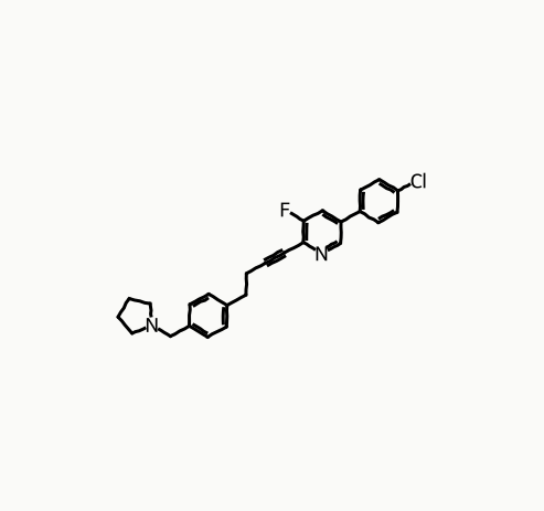 Fc1cc(-c2ccc(Cl)cc2)cnc1C#CCCc1ccc(CN2CCCC2)cc1